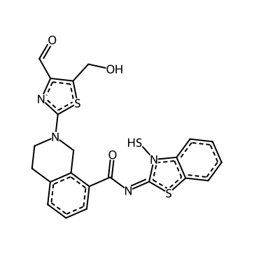 O=Cc1nc(N2CCc3cccc(C(=O)/N=c4/sc5ccccc5n4S)c3C2)sc1CO